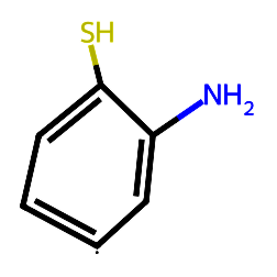 Nc1c[c]ccc1S